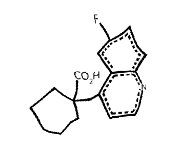 O=C(O)C1(c2ccnc3ccc(F)cc23)CCCCC1